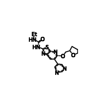 CCNC(=O)Nc1nc2cc(-c3cncnc3)c(OCC3CCCO3)nc2s1